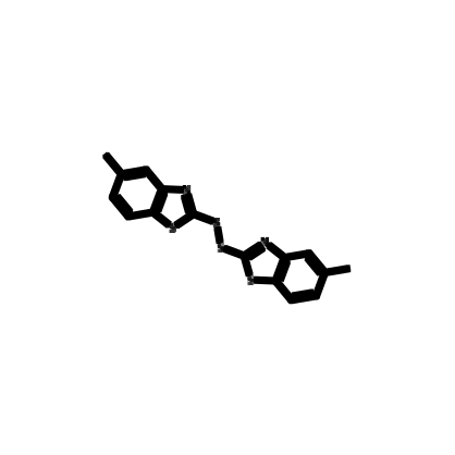 Cc1ccc2sc(SSc3nc4cc(C)ccc4s3)nc2c1